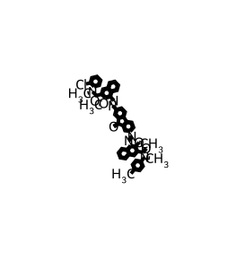 COc1c(C(=O)N(C)c2ccc(C)cc2)cc2ccccc2c1N=Nc1ccc2c(c1)C(=O)c1cc(N=Nc3c(OC)c(C(=O)N(C)c4ccccc4Cl)cc4ccccc34)ccc1-2